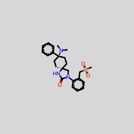 CN(C)[C@]1(c2ccccc2)CC[C@]2(CC1)CN(c1ccccc1CS(C)(=O)=O)C(=O)N2